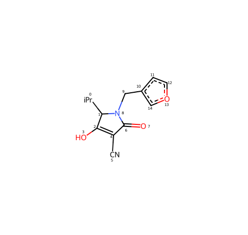 CC(C)C1C(O)=C(C#N)C(=O)N1Cc1ccoc1